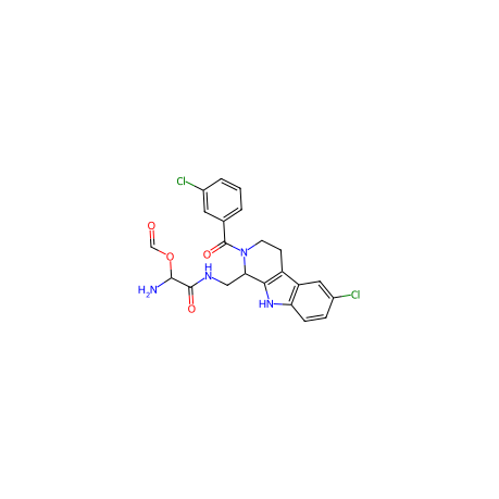 NC(OC=O)C(=O)NCC1c2[nH]c3ccc(Cl)cc3c2CCN1C(=O)c1cccc(Cl)c1